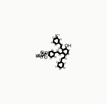 O=P([O-])([O-])[O-].Oc1ccc(C=Cc2ccccc2)c(C=Cc2ccccc2)c1C=Cc1ccccc1.[K+].[K+].[K+]